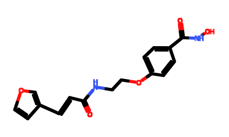 O=C(C=Cc1ccoc1)NCCOc1ccc(C(=O)NO)cc1